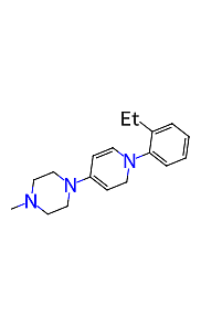 CCc1ccccc1N1C=CC(N2CCN(C)CC2)=CC1